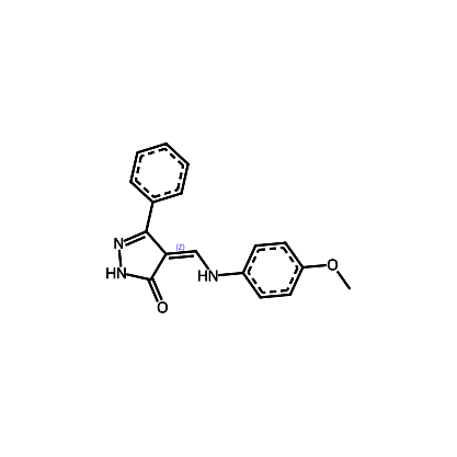 COc1ccc(N/C=C2\C(=O)NN=C2c2ccccc2)cc1